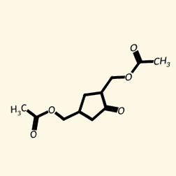 CC(=O)OCC1CC(=O)C(COC(C)=O)C1